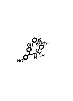 CC(O)C(NCCC(c1ccc(O)cc1)c1ccc(O)cc1)Oc1ccc(O)c(NS(=O)(=O)c2ccccc2)c1